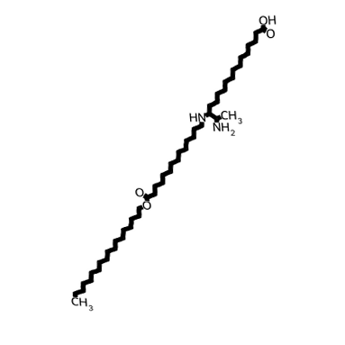 CCCCCCCCCCCCCCCCCCOC(=O)CCCCCCCCCCCCCNC(CCCCCCCCCCCCCC(=O)O)C(C)N